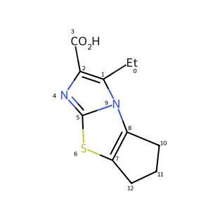 CCc1c(C(=O)O)nc2sc3c(n12)CCC3